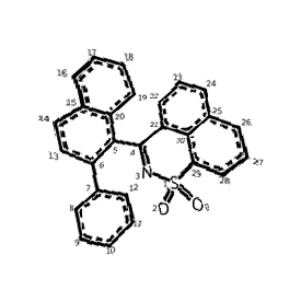 O=S1(=O)N=C(c2c(-c3ccccc3)ccc3ccccc23)c2cccc3cccc1c23